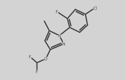 Cc1cc(OC(F)F)nn1-c1ccc(Cl)cc1F